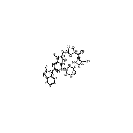 Cc1nc2ccccc2n1-c1nc(N2CCOCC2)c2nc(CN3CCC(C(=O)N4CCC4I)C3)n(C)c2n1